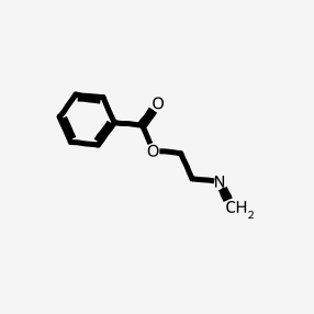 C=NCCOC(=O)c1ccccc1